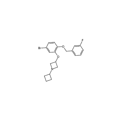 Fc1cccc(COc2ccc(Br)cc2OC2CN(C3CCC3)C2)c1